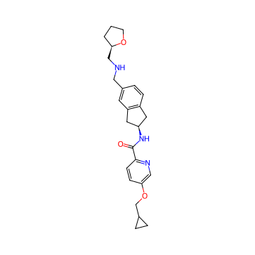 O=C(N[C@@H]1Cc2ccc(CNC[C@H]3CCCO3)cc2C1)c1ccc(OCC2CC2)cn1